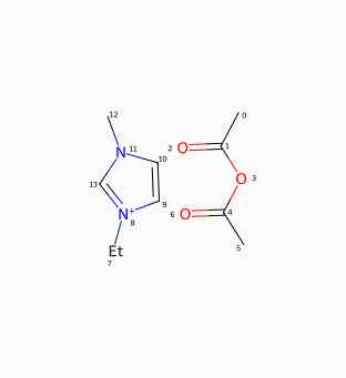 CC(=O)OC(C)=O.CC[n+]1ccn(C)c1